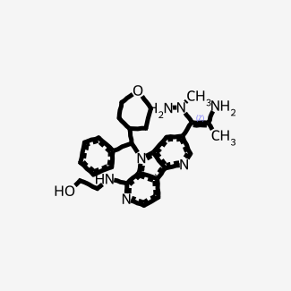 C/C(N)=C(\c1cnc2c3ccnc(NCCO)c3n(C(c3ccccc3)C3CCOCC3)c2c1)N(C)N